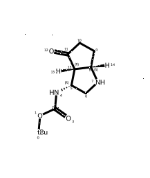 CC(C)(C)OC(=O)N[C@H]1CN[C@H]2CCC(=O)[C@H]21